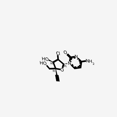 C#C[C@]1(CO)O[C@@H](n2ccc(N)nc2=O)C(Cl)[C@@H]1O